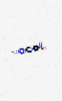 CN1CCN(C2CCN(c3ccc(NC=O)cc3)CC2)CC1